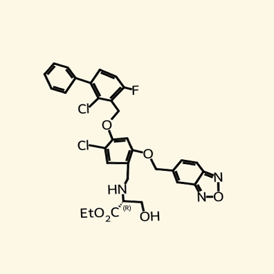 CCOC(=O)[C@@H](CO)NCc1cc(Cl)c(OCc2c(F)ccc(-c3ccccc3)c2Cl)cc1OCc1ccc2nonc2c1